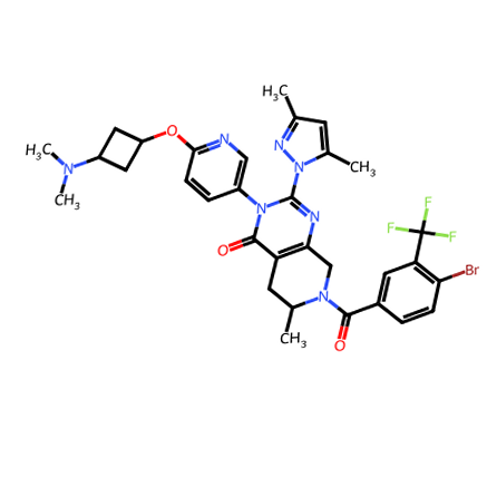 Cc1cc(C)n(-c2nc3c(c(=O)n2-c2ccc(OC4CC(N(C)C)C4)nc2)CC(C)N(C(=O)c2ccc(Br)c(C(F)(F)F)c2)C3)n1